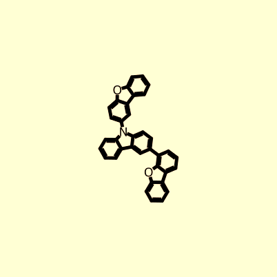 c1ccc2c(c1)oc1ccc(-n3c4ccccc4c4cc(-c5cccc6c5oc5ccccc56)ccc43)cc12